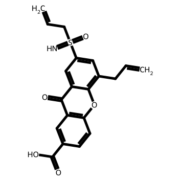 C=CCc1cc(S(=N)(=O)CC=C)cc2c(=O)c3cc(C(=O)O)ccc3oc12